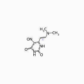 CN(C)/C=C/c1[nH]c(=O)[nH]c(=O)c1N=O